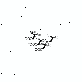 CC(=O)C(CC(=O)[O-])C(C)=O.CC(=O)C(CC(=O)[O-])C(C)=O.CC(=O)C(CC(=O)[O-])C(C)=O.CC(=O)C(CC(=O)[O-])C(C)=O.[Pt+4]